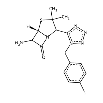 CC1(C)S[C@H]2C(N)C(=O)N2C1c1nnnn1Cc1ccc(I)cc1